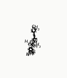 CN1CCC(C#Cc2cnn(C(C)(C)C(=O)Nc3ccc(C#N)c(C(F)(F)F)c3)c2)CC1